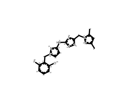 Cc1cc(C)n(Cc2nnc(Nc3ccn(Cc4c(F)cccc4Cl)n3)s2)n1